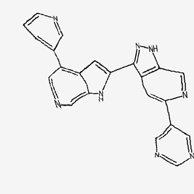 c1cncc(-c2cncc3[nH]c(-c4n[nH]c5cnc(-c6cncnc6)cc45)cc23)c1